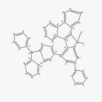 CC1(C)c2nc(-c3ccccc3)nc(-c3ccc4c(c3)c3ccccc3n4-c3ccccc3)c2-c2c1c1ccccc1c1ccccc21